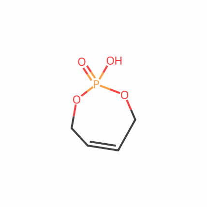 O=P1(O)OCC=CCO1